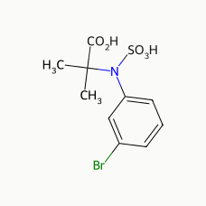 CC(C)(C(=O)O)N(c1cccc(Br)c1)S(=O)(=O)O